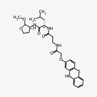 COC1OCC[C@@H]1NC(=O)[C@H](CC(C)C)NC(=O)CCNC(=O)COc1ccc2c(c1)Nc1ccccc1S2